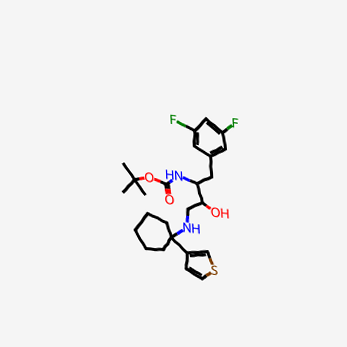 CC(C)(C)OC(=O)NC(Cc1cc(F)cc(F)c1)C(O)CNC1(c2ccsc2)CCCCC1